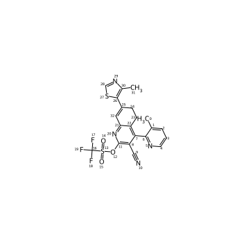 Cc1cccnc1-c1c(C#N)c(OS(=O)(=O)C(F)(F)F)nc2c1CCC(c1scnc1C)=C2